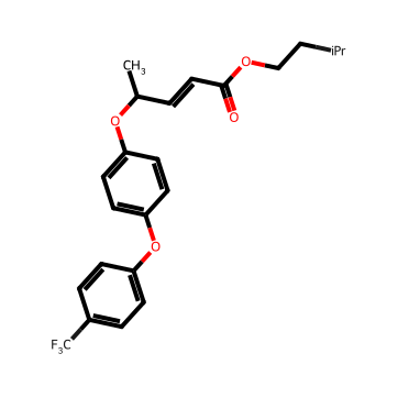 CC(C)CCOC(=O)/C=C/C(C)Oc1ccc(Oc2ccc(C(F)(F)F)cc2)cc1